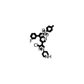 Cc1ccc(S(=O)(=O)n2cc(-c3cccc(F)c3)c3cc(-c4cn(C5CCNCC5)nc4Cl)cnc32)cc1